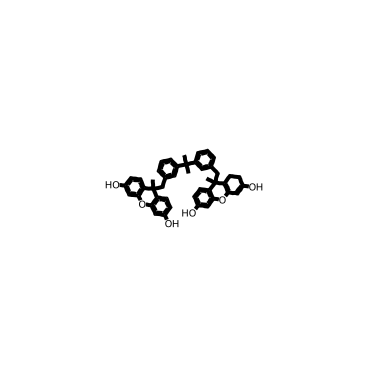 CC1(Cc2cccc(C(C)(C)c3cccc(CC4(C)c5ccc(O)cc5Oc5cc(O)ccc54)c3)c2)C2=C(C=C(O)CC2)Oc2cc(O)ccc21